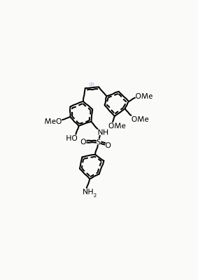 COc1cc(/C=C\c2cc(OC)c(OC)c(OC)c2)cc(NS(=O)(=O)c2ccc(N)cc2)c1O